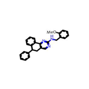 COc1ccccc1CNc1ncc2c(n1)-c1ccccc1C(c1ccccc1)C2